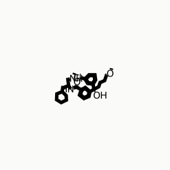 CNCC(CC1CCCCC1)NC(=O)c1cccc([C@@](O)(CCCCOC)c2cccc(Cl)c2)c1